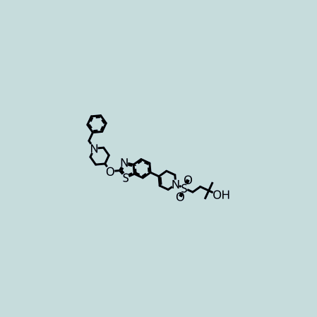 CC(C)(O)CCS(=O)(=O)N1CC=C(c2ccc3nc(OC4CCN(Cc5ccccc5)CC4)sc3c2)CC1